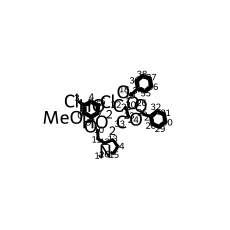 COc1c(Cl)cc(Cl)cc1OCCC1CCCN1C.O=C(OC(C(=O)O)C(OC(=O)c1ccccc1)C(=O)O)c1ccccc1